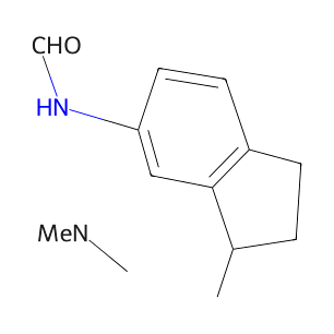 CC1CCc2ccc(NC=O)cc21.CNC